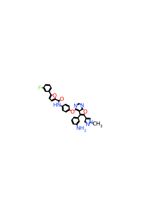 Cn1cc(-c2oc3ncnc(Oc4ccc(NC(=O)c5ccc(-c6cccc(F)c6)o5)cc4)c3c2-c2cccc(N)c2)cn1